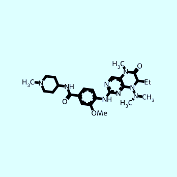 CCC1C(=O)N(C)c2cnc(Nc3ccc(C(=O)NC4CCN(C)CC4)cc3OC)nc2N1N(C)C